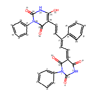 O=C1NC(=O)N(c2ccccc2)C(=O)/C1=C\C=C(C=Cc1c(O)[nH]c(=O)n(-c2ccccc2)c1=O)c1ccccc1